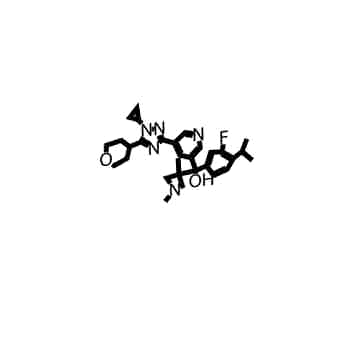 CC(C)c1ccc(C(O)(c2cncc(-c3nc(C4CCOCC4)n(C4CC4)n3)c2)C2(C)CN(C)C2)cc1F